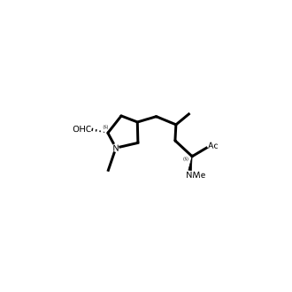 CN[C@@H](CC(C)CC1C[C@@H](C=O)N(C)C1)C(C)=O